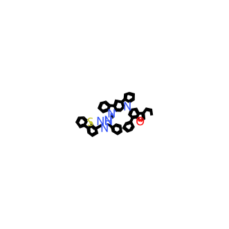 C/C=C\c1coc2c(-c3ccccc3)cc(N3c4ccccc4C4C=c5c(n(/C=N/C(=N\C(=N)c6cccc7c6sc6ccccc67)c6ccccc6)c6ccccc56)=CC43)cc12